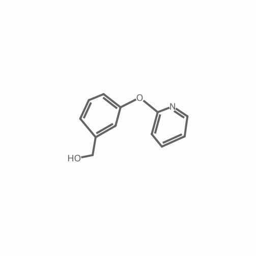 OCc1cccc(Oc2ccccn2)c1